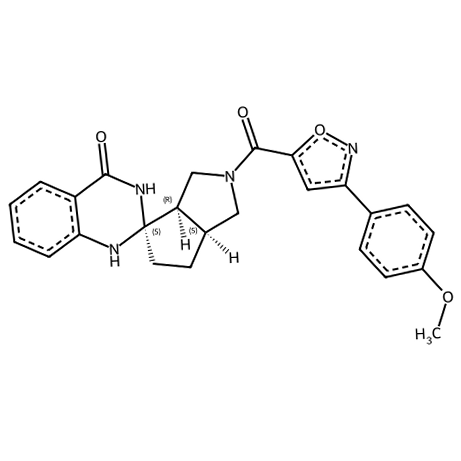 COc1ccc(-c2cc(C(=O)N3C[C@H]4CC[C@]5(NC(=O)c6ccccc6N5)[C@H]4C3)on2)cc1